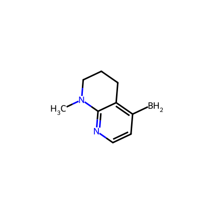 Bc1ccnc2c1CCCN2C